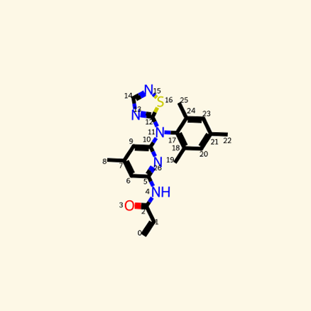 C=CC(=O)Nc1cc(C)cc(N(c2ncns2)c2c(C)cc(C)cc2C)n1